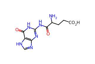 NC(CCC(=O)O)C(=O)Nc1nc2nc[nH]c2c(=O)[nH]1